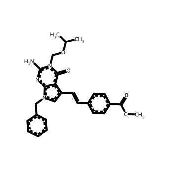 COC(=O)c1ccc(/C=C/c2cn(Cc3ccccc3)c3nc(N)n(COC(C)C)c(=O)c23)cc1